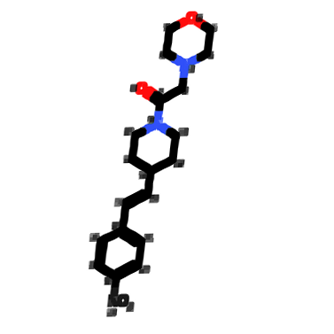 O=C(CN1CCOCC1)N1CCC(/C=C/c2ccc([N+](=O)[O-])cc2)CC1